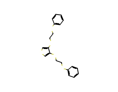 c1ccc(SCCSc2cscc2SCCSc2ccccc2)cc1